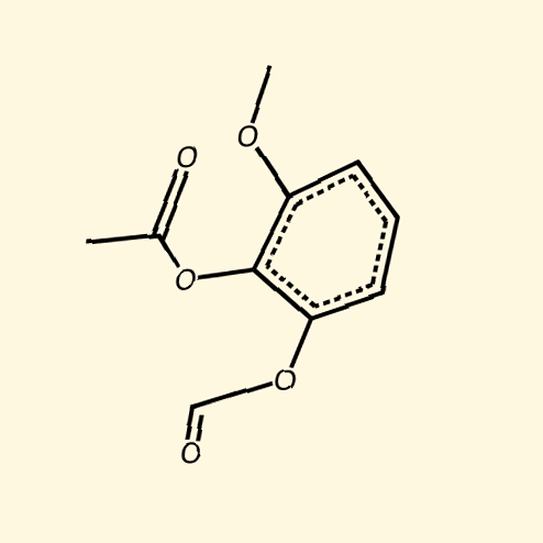 COc1cccc(OC=O)c1OC(C)=O